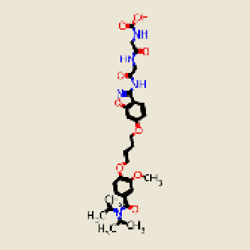 COc1cc(C(=O)N(C(C)C)C(C)C)ccc1OCCCCOc1ccc2c(NC(=O)CNC(=O)CNC(=O)O)noc2c1